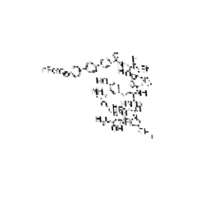 CCCCCOc1ccc(-c2ccc(-c3ccc(C(=O)NCC(=O)NC(CC)C(=O)N4CCCC4C(=O)NC(CCc4ccc(O)cc4)C(=O)NC(CC)C(=O)N4C[C@H](C)CC4C(=O)NC(NCCOCCN)[C@@H](C)O)cc3)cc2)cc1